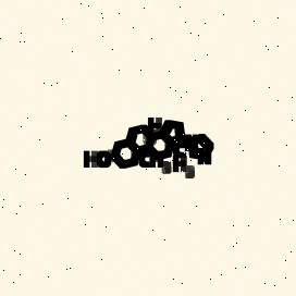 C[C@]12CCC3[C@@H](CC=C4C[C@@H](O)CC[C@@]43C)C1=CC=C2n1ccnc1